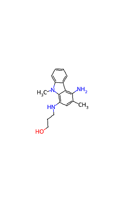 Cc1cc(NCCCO)c2c(c1N)c1ccccc1n2C